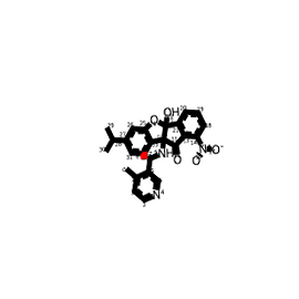 Cc1ccncc1C(=O)NC12C(=O)c3c([N+](=O)[O-])cccc3C1(O)Oc1cc(C(C)C)ccc12